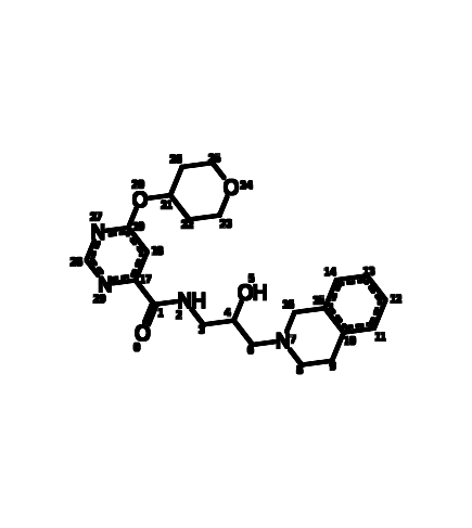 O=C(NCC(O)CN1CCc2ccccc2C1)c1cc(OC2CCOCC2)ncn1